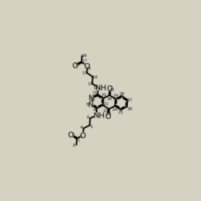 CC(=O)OCCCNc1nnc(NCCCOC(C)=O)c2c1C(=O)c1ccccc1C2=O